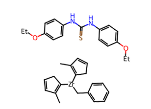 CC1=[C]([Zr]([CH2]c2ccccc2)[C]2=C(C)C=CC2)CC=C1.CCOc1ccc(NC(=S)Nc2ccc(OCC)cc2)cc1